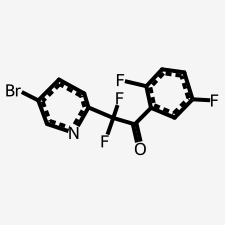 O=C(c1cc(F)ccc1F)C(F)(F)c1ccc(Br)cn1